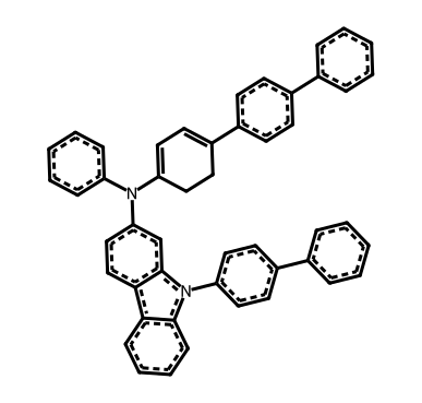 C1=C(c2ccc(-c3ccccc3)cc2)CCC(N(c2ccccc2)c2ccc3c4ccccc4n(-c4ccc(-c5ccccc5)cc4)c3c2)=C1